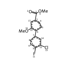 COC(=O)c1ccc(-c2cnc(F)c(Cl)c2)c(OC)c1